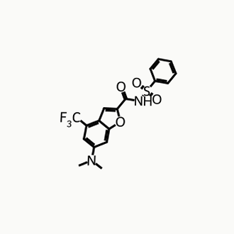 CN(C)c1cc(C(F)(F)F)c2cc(C(=O)NS(=O)(=O)c3ccccc3)oc2c1